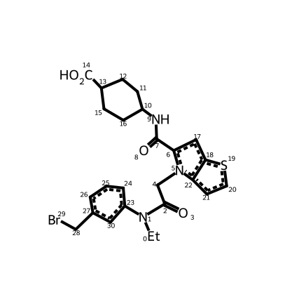 CCN(C(=O)Cn1c(C(=O)NC2CCC(C(=O)O)CC2)cc2sccc21)c1cccc(CBr)c1